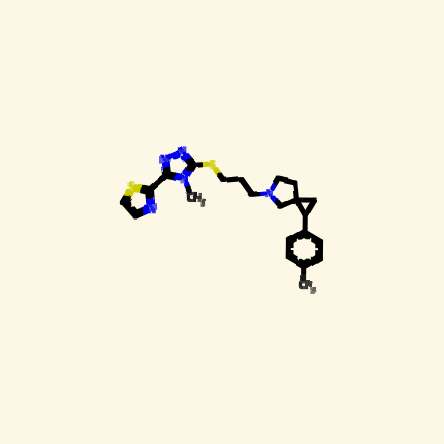 Cn1c(SCCCN2CCC3(CC3c3ccc(C(F)(F)F)cc3)C2)nnc1-c1nccs1